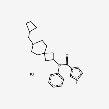 Cl.O=C(c1cc[nH]c1)N(c1ccccc1)C1CC2(CCN(CC3CCC3)CC2)C1